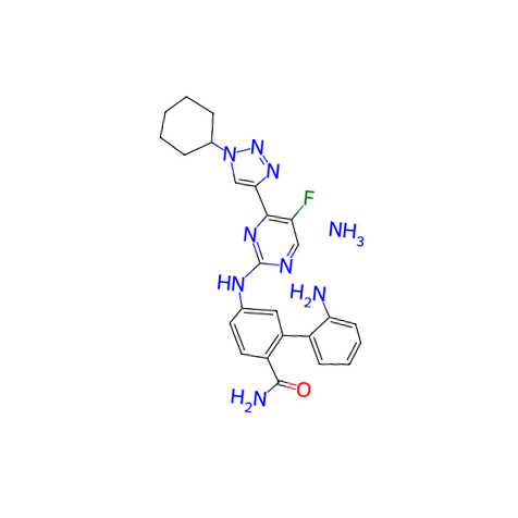 N.NC(=O)c1ccc(Nc2ncc(F)c(-c3cn(C4CCCCC4)nn3)n2)cc1-c1ccccc1N